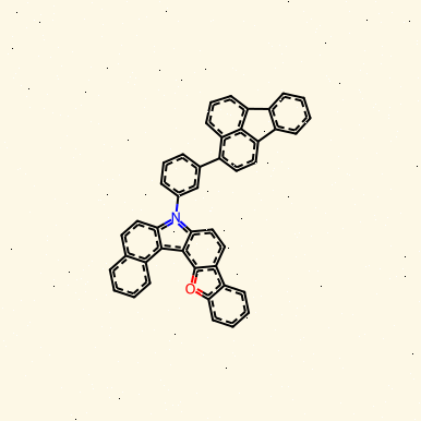 c1cc(-c2ccc3c4c(cccc24)-c2ccccc2-3)cc(-n2c3ccc4ccccc4c3c3c4oc5ccccc5c4ccc32)c1